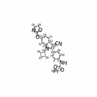 CC(C)OC(=O)Nc1ccc(-c2c(C#N)c3ccc(Oc4ncco4)cc3n2C2CCC2)cc1